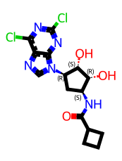 O=C(N[C@H]1C[C@@H](n2cnc3c(Cl)nc(Cl)nc32)[C@H](O)[C@@H]1O)C1CCC1